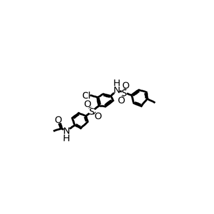 CC(=O)Nc1ccc(S(=O)(=O)c2ccc(NS(=O)(=O)c3ccc(C)cc3)cc2Cl)cc1